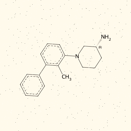 Cc1c(-c2ccccc2)cccc1N1CCC[C@@H](N)C1